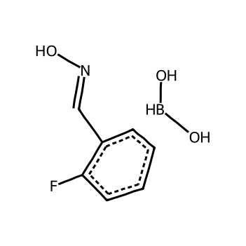 OBO.ON=Cc1ccccc1F